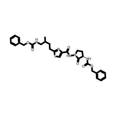 CC(CCc1nc(C(=O)NN2CC[C@H](NC(=O)OCc3ccccc3)C2=O)cs1)CNC(=O)OCc1ccccc1